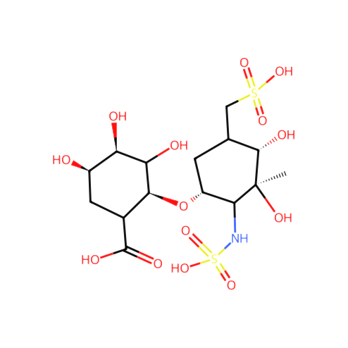 C[C@]1(O)C(NS(=O)(=O)O)[C@H](O[C@H]2C(C(=O)O)C[C@@H](O)[C@@H](O)C2O)CC(CS(=O)(=O)O)[C@@H]1O